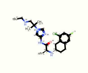 CCC[C@H](N[C@H]1CCc2cc(F)cc(Cl)c2C1)C(=O)Nc1cn(C(C)(C)CNCC(C)(C)C)cn1